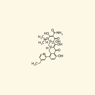 CCc1ccnc(-c2ccc(O)c3c2C[C@H]2C[C@H]4[C@@H](N(C)C)C(O)=C(C(N)=O)C(=O)[C@@]4(O)C(O)=C2C3=O)c1